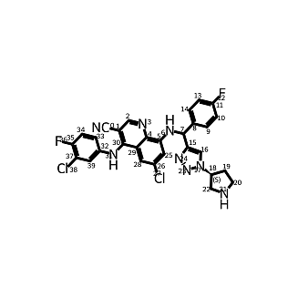 N#Cc1cnc2c(NC(c3ccc(F)cc3)c3cn([C@H]4CCNC4)nn3)cc(Cl)cc2c1Nc1ccc(F)c(Cl)c1